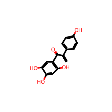 C=C(C(=O)c1cc(O)c(O)cc1O)c1ccc(O)cc1